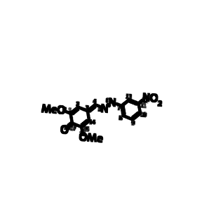 COC1=CC(=CN=Nc2cccc([N+](=O)[O-])c2)C=C(OC)C1=O